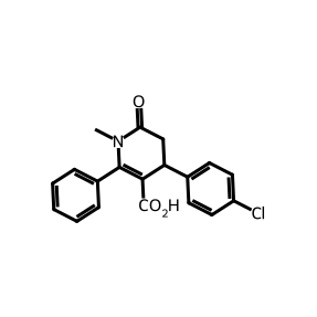 CN1C(=O)CC(c2ccc(Cl)cc2)C(C(=O)O)=C1c1ccccc1